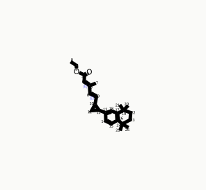 CCOC(=O)/C=C(C)/C=C/C1CC1c1ccc2c(c1)C(C)(C)CCC2(C)C